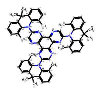 Cc1cccc2c1N(c1cnc3c(n1)c1ncc(N4c5c(C)cccc5C(C)(C)c5cccc(C)c54)nc1c1ncc(N4c5c(C)cccc5C(C)(C)c5cccc(C)c54)nc31)c1c(C)cccc1C2(C)C